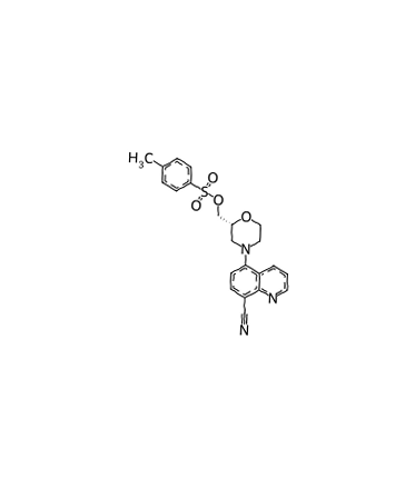 Cc1ccc(S(=O)(=O)OC[C@H]2CN(c3ccc(C#N)c4ncccc34)CCO2)cc1